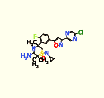 CC1(C)C(N)=N[C@](C)(c2cc(-c3cc(-c4cnc(Cl)cn4)no3)ccc2F)CS1(=O)=NC1CC1